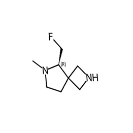 CN1CCC2(CNC2)[C@@H]1CF